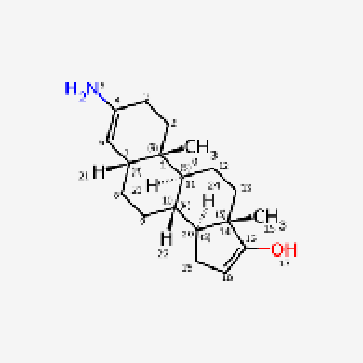 C[C@]12CCC(N)=C[C@H]1CC[C@@H]1[C@@H]2CC[C@]2(C)C(O)=CC[C@@H]12